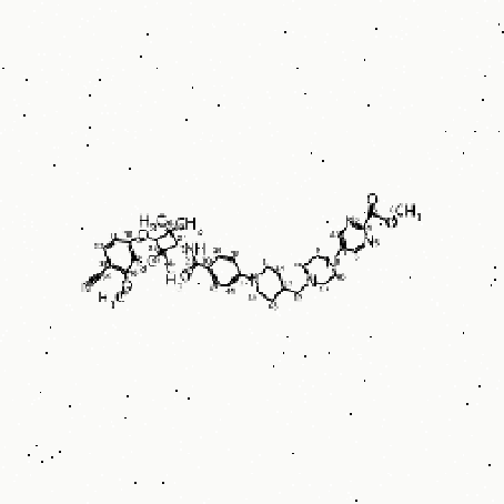 COC(=O)c1ncc(N2CCN(CC3CCN(c4ccc(C(=O)N[C@H]5C(C)(C)[C@H](Oc6ccc(C#N)c(OC)c6)C5(C)C)cc4)CC3)CC2)cn1